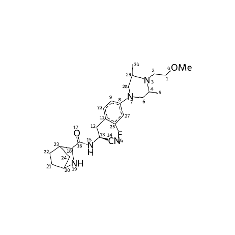 COCCN1C(C)CN(c2ccc(C[C@@H](C#N)NC(=O)C3NC4CCC3C4)c(F)c2)CC1C